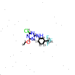 CCOc1nc(Cl)nc(Nc2cccc(C(F)(F)F)c2)n1